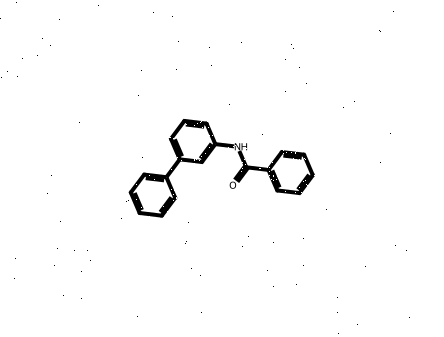 O=C(Nc1cccc(-c2ccccc2)c1)c1ccccc1